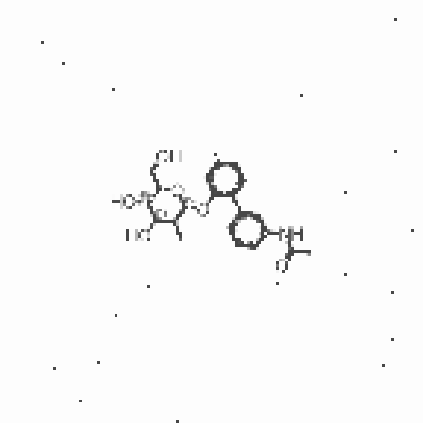 CC(=O)Nc1cccc(-c2ccccc2O[C@@H]2OC(CO)[C@H](O)[C@H](O)C2C)c1